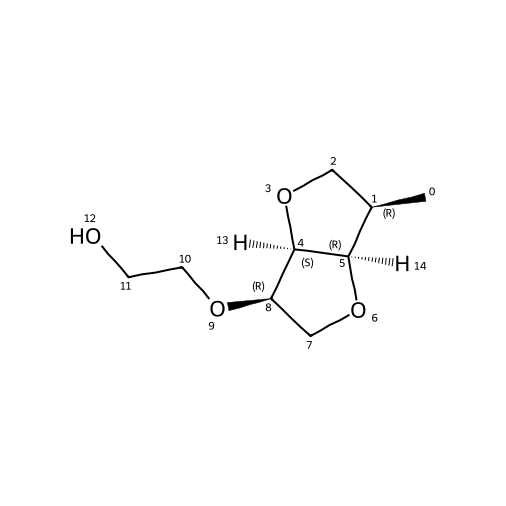 C[C@@H]1CO[C@H]2[C@@H]1OC[C@H]2OCCO